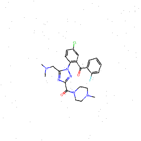 CN(C)Cc1nc(C(=O)N2CCN(C)CC2)nn1-c1ccc(Cl)cc1C(=O)c1ccccc1F